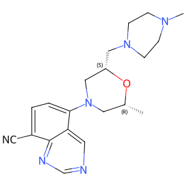 C[C@@H]1CN(c2ccc(C#N)c3ncncc23)C[C@H](CN2CCN(C)CC2)O1